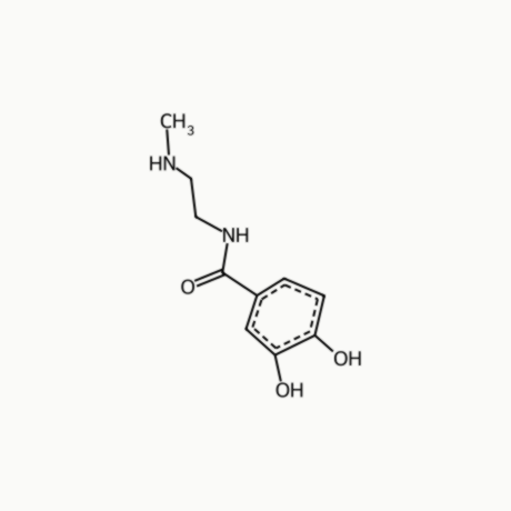 CNCCNC(=O)c1ccc(O)c(O)c1